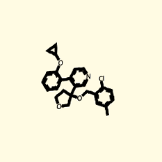 Cc1ccc(Cl)c(COC2(c3cnccc3-c3ccccc3OC3CC3)CCOC2)c1